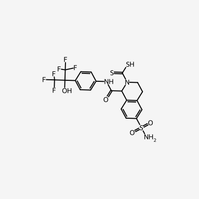 NS(=O)(=O)c1ccc2c(c1)CCN(C(=S)S)C2C(=O)Nc1ccc(C(O)(C(F)(F)F)C(F)(F)F)cc1